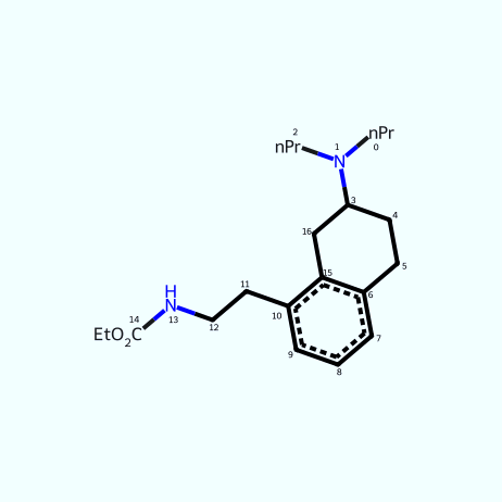 CCCN(CCC)C1CCc2cccc(CCNC(=O)OCC)c2C1